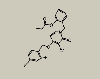 CCC(=O)Oc1ccccc1Cn1ccc(OCc2ccc(F)cc2F)c(Br)c1=O